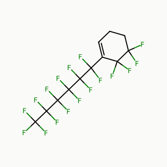 FC(F)(F)C(F)(F)C(F)(F)C(F)(F)C(F)(F)C(F)(F)C1=CCCC(F)(F)C1(F)F